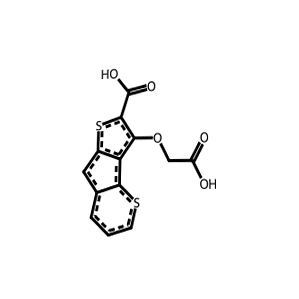 O=C(O)COc1c(C(=O)O)sc2cc3cccsc-3c12